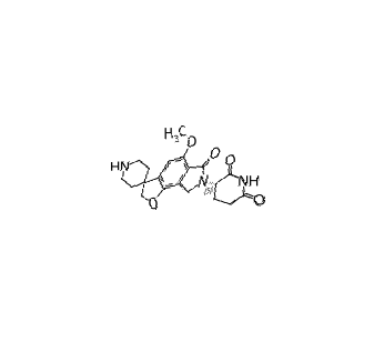 COc1cc2c(c3c1C(=O)N([C@H]1CCC(=O)NC1=O)C3)OCC21CCNCC1